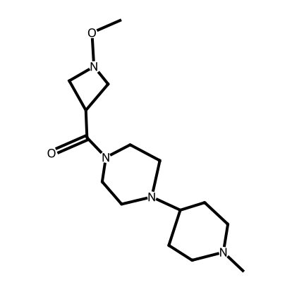 CON1CC(C(=O)N2CCN(C3CCN(C)CC3)CC2)C1